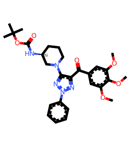 COc1cc(C(=O)c2nn(-c3ccccc3)nc2N2CCC[C@H](NC(=O)OC(C)(C)C)C2)cc(OC)c1OC